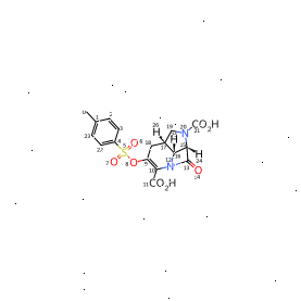 Cc1ccc(S(=O)(=O)OC2=C(C(=O)O)N3C(=O)[C@@H]4[C@H]3[C@H](C2)CN4C(=O)O)cc1